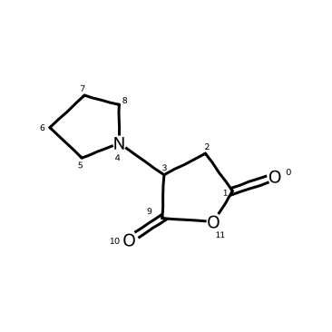 O=C1CC(N2CCCC2)C(=O)O1